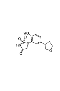 O=C1CN(c2cc(C3CCOC3)ccc2O)S(=O)(=O)N1